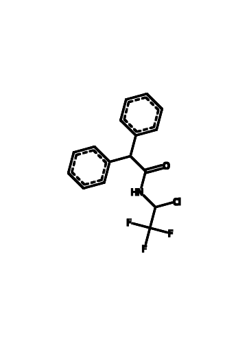 O=C(NC(Cl)C(F)(F)F)C(c1ccccc1)c1ccccc1